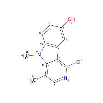 Cc1cnc(Cl)c2c3cc(O)ccc3n(C)c12